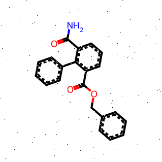 NC(=O)c1cccc(C(=O)OCc2ccccc2)c1-c1ccccc1